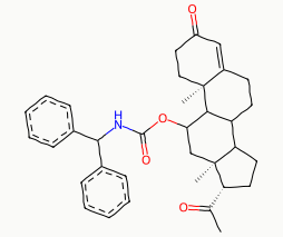 CC(=O)[C@H]1CCC2C3CCC4=CC(=O)CC[C@]4(C)C3C(OC(=O)NC(c3ccccc3)c3ccccc3)C[C@@]21C